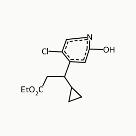 CCOC(=O)CC(c1cc(O)ncc1Cl)C1CC1